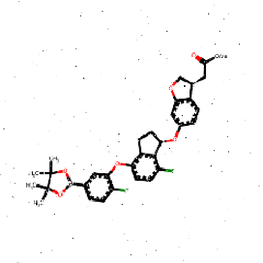 COC(=O)C[C@@H]1COc2cc(O[C@@H]3CCc4c(Oc5cc(B6OC(C)(C)C(C)(C)O6)ccc5F)ccc(F)c43)ccc21